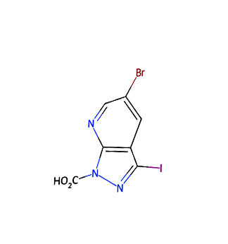 O=C(O)n1nc(I)c2cc(Br)cnc21